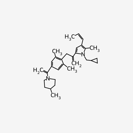 C=C(Cc1c(C)cc(C(=C)N2CCC(C)CC2)cc1C)c1cc(/C=C\C)c(C)n1CC1CC1